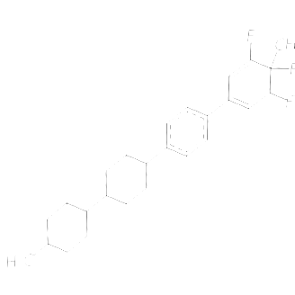 CC1CCC(C2CCC(c3ccc(C4=CC(F)C(C)(F)C(F)=C4)cc3)CC2)CC1